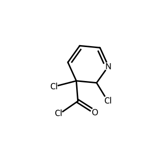 O=C(Cl)C1(Cl)C=CC=NC1Cl